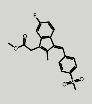 COC(=O)CC1=C(C)C(=Cc2ccc(S(C)(=O)=O)cc2)c2ccc(F)cc21